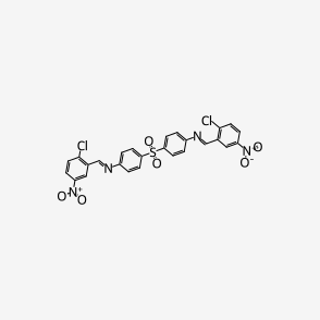 O=[N+]([O-])c1ccc(Cl)c(/C=N/c2ccc(S(=O)(=O)c3ccc(/N=C/c4cc([N+](=O)[O-])ccc4Cl)cc3)cc2)c1